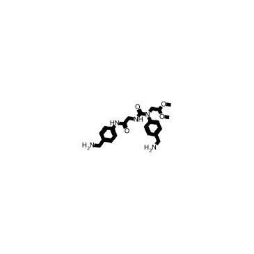 COC(CN(C(=O)NCC(=O)Nc1ccc(CN)cc1)c1ccc(CN)cc1)OC